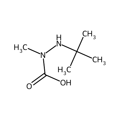 CN(NC(C)(C)C)C(=O)O